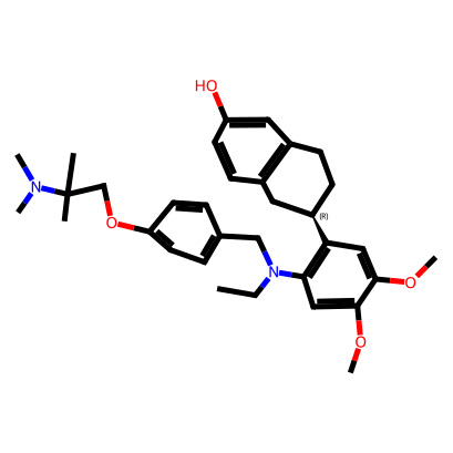 CCN(Cc1ccc(OCC(C)(C)N(C)C)cc1)c1cc(OC)c(OC)cc1[C@@H]1CCc2cc(O)ccc2C1